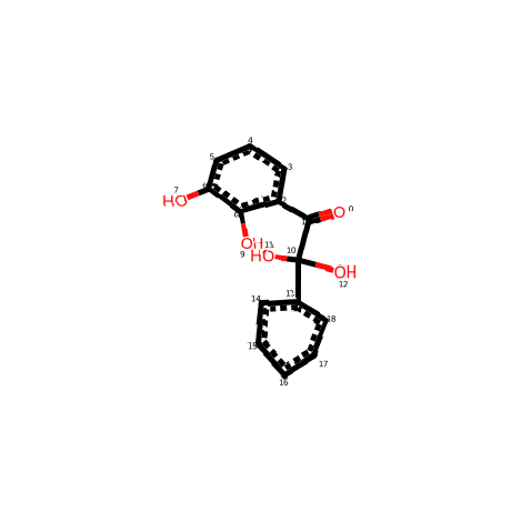 O=C(c1cccc(O)c1O)C(O)(O)c1ccccc1